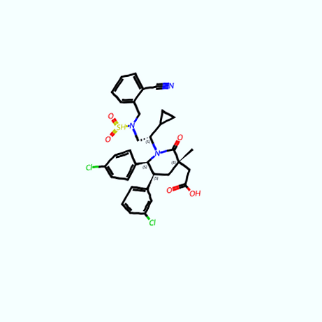 C[C@@]1(CC(=O)O)C[C@@H](c2cccc(Cl)c2)[C@@H](c2ccc(Cl)cc2)N([C@H](CN(Cc2ccccc2C#N)[SH](=O)=O)C2CC2)C1=O